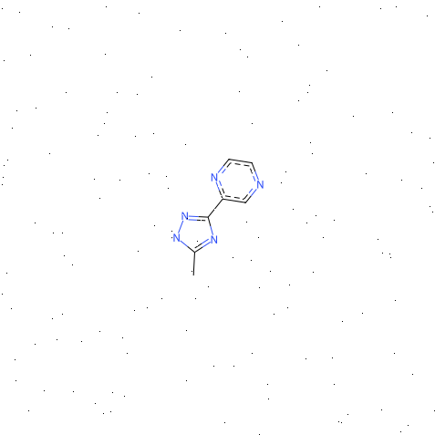 CC1=NC(c2cnccn2)=N[N]1